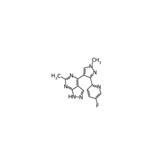 Cc1nc(-c2cn(C)nc2-c2ccc(F)cn2)c2cn[nH]c2n1